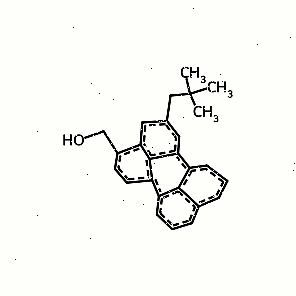 CC(C)(C)Cc1cc2c(CO)ccc3c4cccc5cccc(c(c1)c23)c54